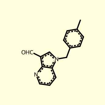 Cc1ccc(Cn2cc(C=O)c3ncccc32)cc1